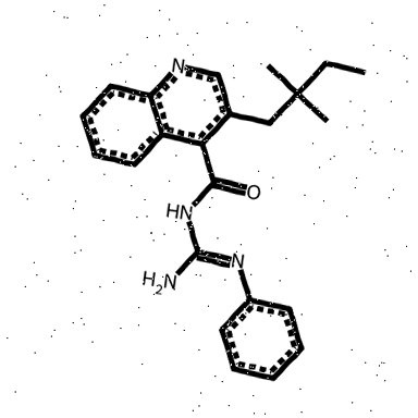 CCC(C)(C)Cc1cnc2ccccc2c1C(=O)NC(N)=Nc1ccccc1